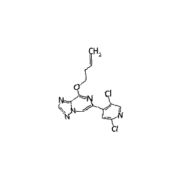 C=CCCOc1nc(-c2cc(Cl)ncc2Cl)cn2ncnc12